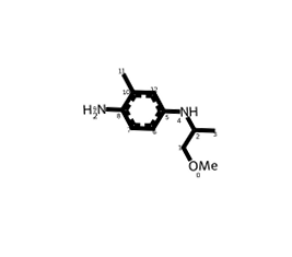 COCC(C)Nc1ccc(N)c(C)c1